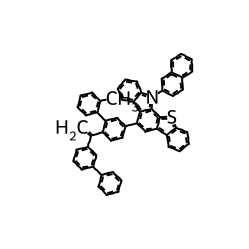 C=C(c1cccc(-c2ccccc2)c1)c1ccc(-c2cc3c4ccccc4sc3c3c2c2ccccc2n3-c2ccc3ccccc3c2)cc1-c1ccccc1C